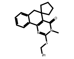 CC(C)CSc1nc2c(c(=O)n1C)C1(CCCC1)Cc1ccccc1-2